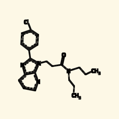 CCCN(CCC)C(=O)CCn1c(-c2ccc(Cl)cc2)nc2cccnc21